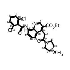 CCOC(=O)c1cnc2c(NC(=O)c3c(Cl)cccc3Cl)cccc2c1CC(=O)N1CCN(C)CC1